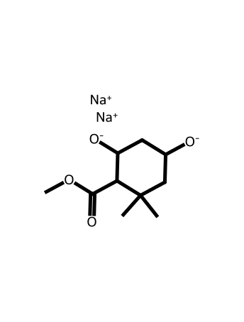 COC(=O)C1C([O-])CC([O-])CC1(C)C.[Na+].[Na+]